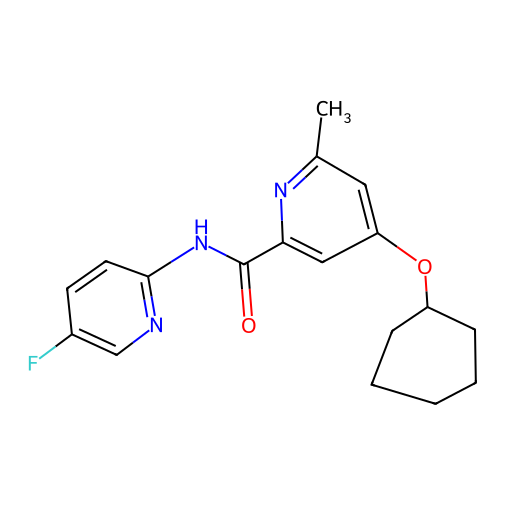 Cc1cc(OC2CCCCC2)cc(C(=O)Nc2ccc(F)cn2)n1